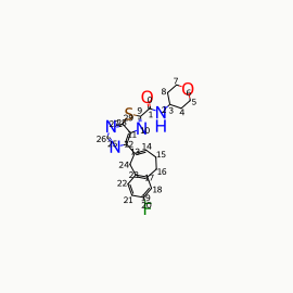 O=C(NC1CCOCC1)c1nc2c(C3=CCCc4cc(F)ccc4C3)ncnc2s1